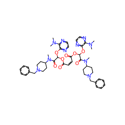 CN(C)c1nccnc1OC(OC(=O)/C=C\C(=O)OC(Oc1nccnc1N(C)C)C(=O)N(C)C1CCN(Cc2ccccc2)CC1)C(=O)N(C)C1CCN(Cc2ccccc2)CC1